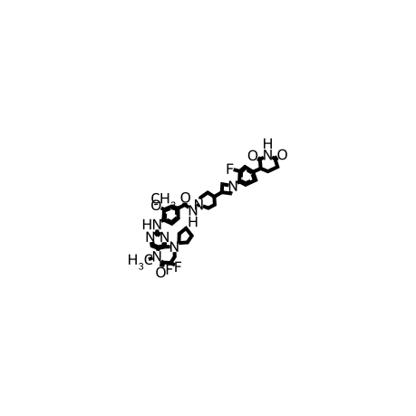 COc1cc(C(=O)NN2CCC(C3CN(c4ccc(C5CCC(=O)NC5=O)cc4F)C3)CC2)ccc1Nc1ncc2c(n1)N(C1CCCC1)CC(F)(F)C(=O)N2C